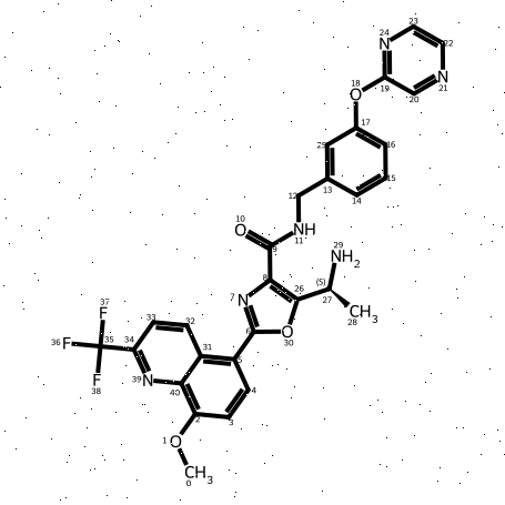 COc1ccc(-c2nc(C(=O)NCc3cccc(Oc4cnccn4)c3)c([C@H](C)N)o2)c2ccc(C(F)(F)F)nc12